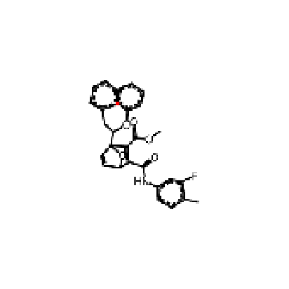 COC(=O)C1=C(C(=O)Nc2ccc(C)c(F)c2)C2C=CC1(C(Cc1ccccc1)Oc1ccccc1)O2